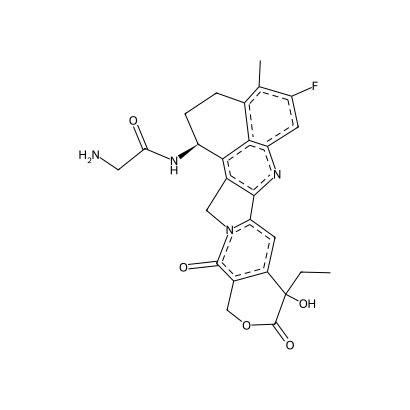 CCC1(O)C(=O)OCc2c1cc1n(c2=O)Cc2c-1nc1cc(F)c(C)c3c1c2[C@@H](NC(=O)CN)CC3